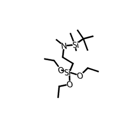 CCO[Si](CCN(C)[Si](C)(C)C(C)(C)C)(OCC)OCC